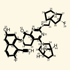 C#Cc1c(F)ccc2cc(O)cc(N3CCc4c(nc(SC[C@@]56CCCN5C[C@H](F)C6)nc4N4C[C@H]5CC[C@@H](C4)N5)C3=O)c12